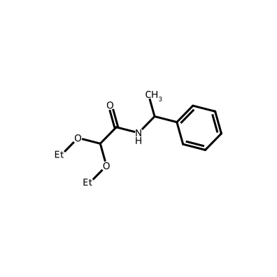 CCOC(OCC)C(=O)NC(C)c1ccccc1